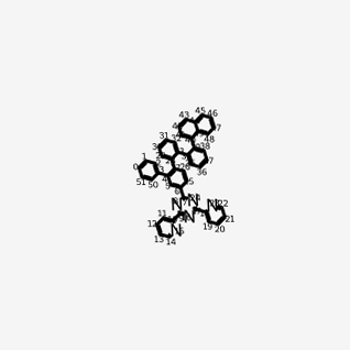 c1ccc(-c2cc(-c3nc(-c4ccccn4)nc(-c4ccccn4)n3)ccc2-c2ccccc2-c2ccccc2-c2cccc3ccccc23)cc1